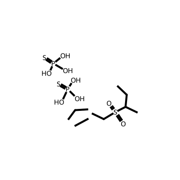 CC.CCC.CCC(C)S(=O)(=O)CC.OP(O)(O)=S.OP(O)(O)=S